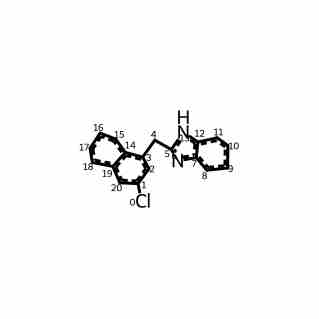 Clc1cc(Cc2nc3ccccc3[nH]2)c2ccccc2c1